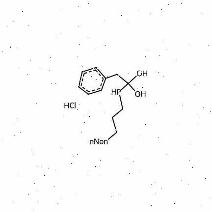 CCCCCCCCCCCCPC(O)(O)Cc1ccccc1.Cl